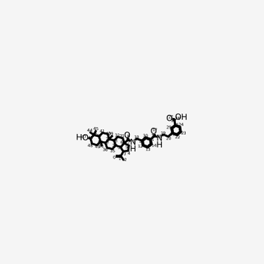 C=C(C)C1CCC2(C(=O)NCc3cccc(C(=O)NCCc4cccc(C(=O)O)c4)c3)CCC3C(CCC4C3(C)CCC3C(C)(C)C(O)CCC34C)C12